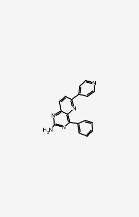 Nc1nc(-c2ccccc2)c2nc(-c3ccncc3)ccc2n1